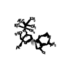 C#C[C@]1(CO)O[C@@H](n2cc(Cl)c3c(N)ncnc32)C[C@@H]1O[Si](C)(C)C(C)(C)C